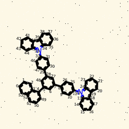 c1ccc2c(-c3cc(-c4ccc(-n5c6ccccc6c6ccccc65)cc4)cc(-c4ccc(-n5c6ccccc6c6ccccc65)cc4)c3)cccc2c1